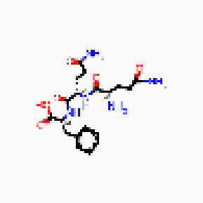 NC(=O)CC[C@H](NC(=O)[C@@H](N)CCC(N)=O)C(=O)N[C@@H](Cc1ccccc1)C(=O)O